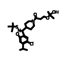 CC(C)c1cc2c(cc1Cl)C(C1CCN(C(=O)CCOC(C)(C)O)CC1)N(SC(C)(C)C)O2